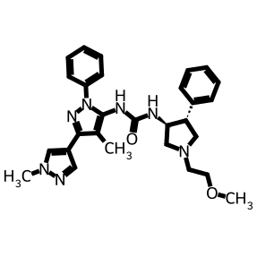 COCCN1C[C@@H](NC(=O)Nc2c(C)c(-c3cnn(C)c3)nn2-c2ccccc2)[C@H](c2ccccc2)C1